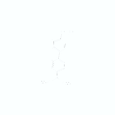 CCOC(=O)c1ccc(-c2ccc(C(OC)OC)cc2)cc1